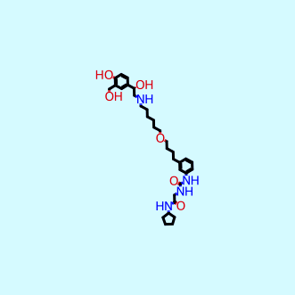 O=C(CNC(=O)Nc1cccc(CCCCOCCCCCCNC[C@H](O)c2ccc(O)c(CO)c2)c1)NC1CCCC1